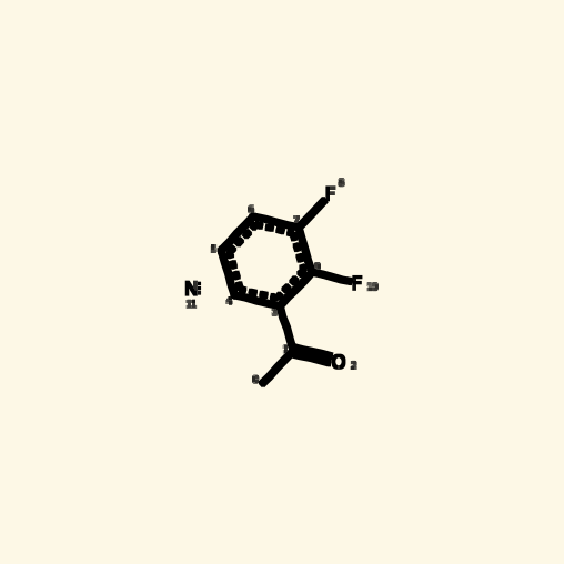 CC(=O)c1cccc(F)c1F.[N]